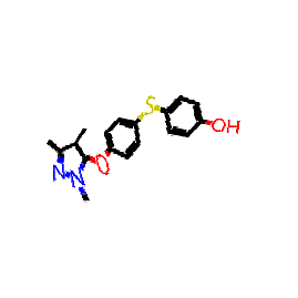 CC1=NN(C)C(Oc2ccc(Sc3ccc(O)cc3)cc2)C1C